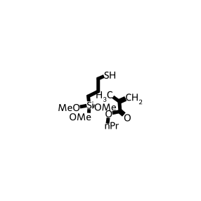 CO[Si](CCCS)(OC)OC.[CH2]CCOC(=O)C(=C)C